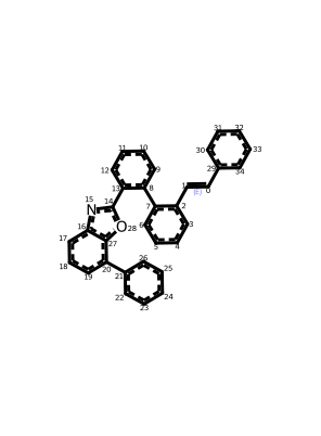 C(=C\c1ccccc1-c1ccccc1-c1nc2cccc(-c3ccccc3)c2o1)/c1ccccc1